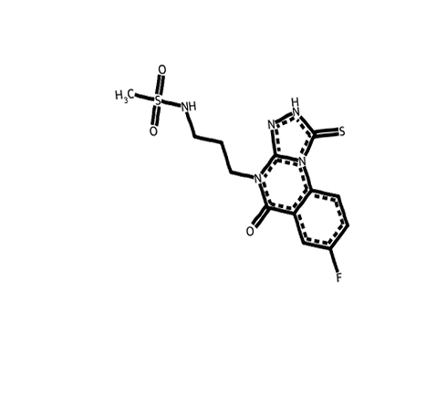 CS(=O)(=O)NCCCn1c(=O)c2cc(F)ccc2n2c(=S)[nH]nc12